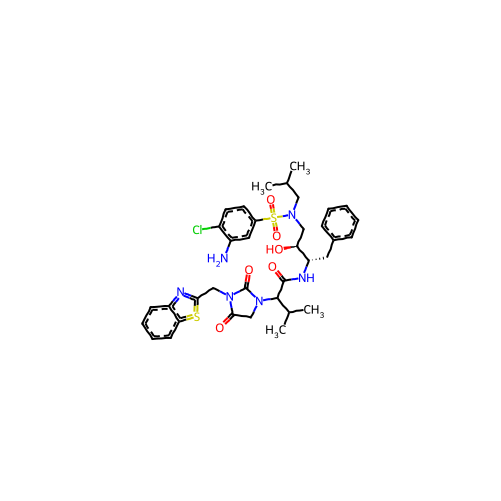 CC(C)CN(C[C@H](O)[C@H](Cc1ccccc1)NC(=O)C(C(C)C)N1CC(=O)N(Cc2nc3ccccc3s2)C1=O)S(=O)(=O)c1ccc(Cl)c(N)c1